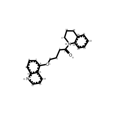 O=C(CCCOc1cccc2ncccc12)N1CCCc2ccccc21